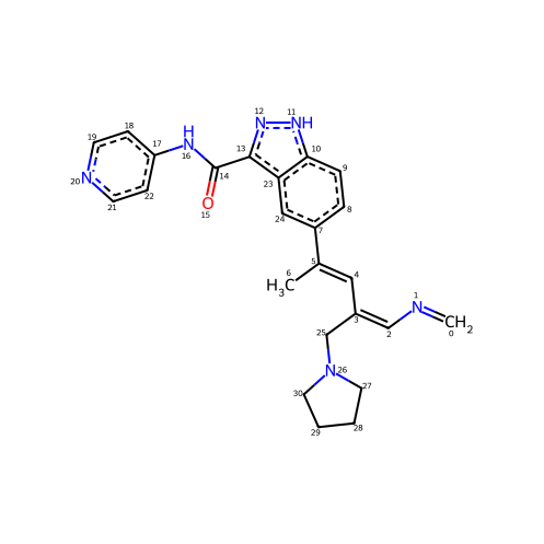 C=N/C=C(\C=C(/C)c1ccc2[nH]nc(C(=O)Nc3ccncc3)c2c1)CN1CCCC1